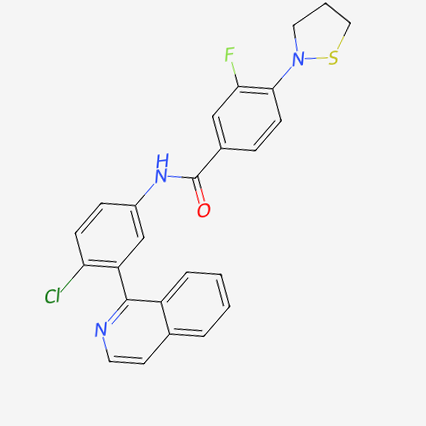 O=C(Nc1ccc(Cl)c(-c2nccc3ccccc23)c1)c1ccc(N2CCCS2)c(F)c1